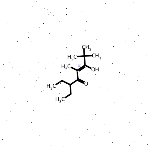 CCC(CC)C(=O)/C(C)=C(\O)C(C)(C)C